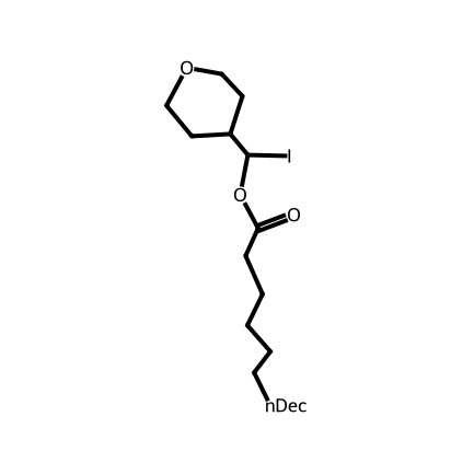 CCCCCCCCCCCCCCCC(=O)OC(I)C1CCOCC1